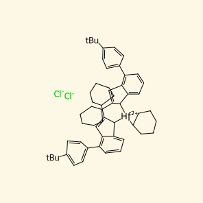 CC(C)(C)c1ccc(-c2cccc3c2C=C(C2CCCCC2)[CH]3[Hf+2]2([CH]3C(C4CCCCC4)=Cc4c(-c5ccc(C(C)(C)C)cc5)cccc43)[CH]3CCCC[CH]32)cc1.[Cl-].[Cl-]